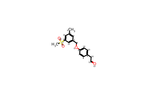 Cc1cc(COc2ccc(C[C]=O)cc2)cc(S(C)(=O)=O)c1